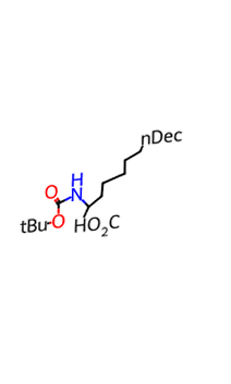 CCCCCCCCCCCCCCCC(NC(=O)OC(C)(C)C)C(=O)O